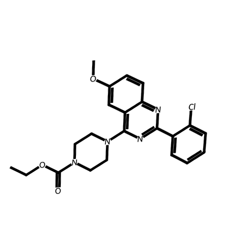 CCOC(=O)N1CCN(c2nc(-c3ccccc3Cl)nc3ccc(OC)cc23)CC1